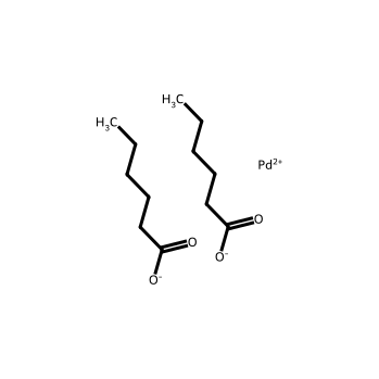 CCCCCC(=O)[O-].CCCCCC(=O)[O-].[Pd+2]